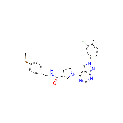 CSc1ccc(CNC(=O)C2CCN(c3ncnc4nn(-c5ccc(C)c(F)c5)cc34)C2)cc1